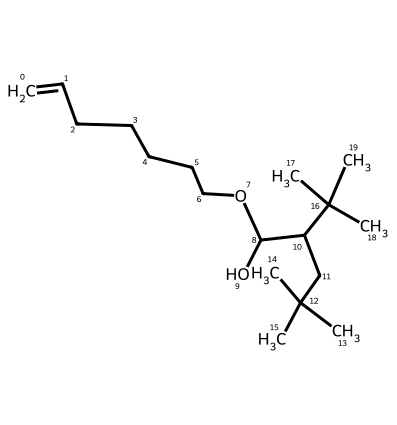 C=CCCCCCOC(O)C(CC(C)(C)C)C(C)(C)C